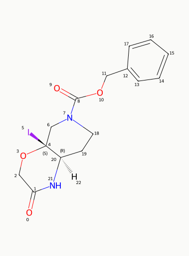 O=C1CO[C@]2(I)CN(C(=O)OCc3ccccc3)CC[C@H]2N1